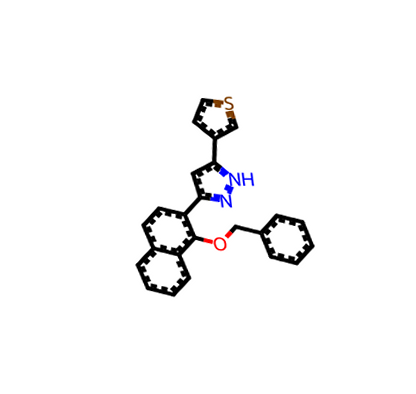 c1ccc(COc2c(-c3cc(-c4ccsc4)[nH]n3)ccc3ccccc23)cc1